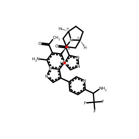 CC(=O)c1c([C@H]2C[C@H]3CC[C@@H](C2)N3C(=O)c2nnc[nH]2)nc2c(-c3ccc(C(N)C(F)(F)F)nc3)cnn2c1N